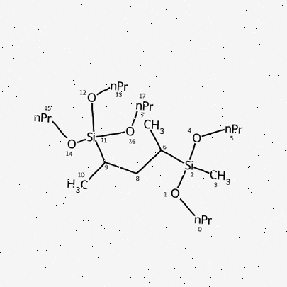 CCCO[Si](C)(OCCC)C(C)CC(C)[Si](OCCC)(OCCC)OCCC